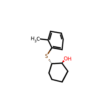 Cc1ccccc1S[C@H]1CCCC[C@@H]1O